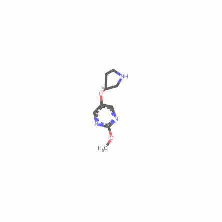 COc1ncc(O[C@H]2CCNC2)cn1